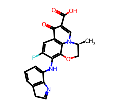 C[C@H]1COc2c(Nc3cccc4c3N=CC4)c(F)cc3c(=O)c(C(=O)O)cn1c23